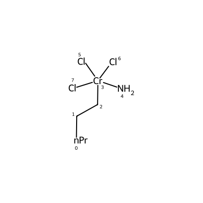 CCCC[CH2][Cr]([NH2])([Cl])([Cl])[Cl]